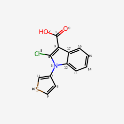 O=C(O)c1c(Cl)n(-c2ccsc2)c2ccccc12